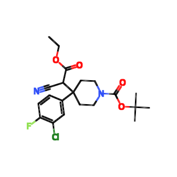 CCOC(=O)C(C#N)C1(c2ccc(F)c(Cl)c2)CCN(C(=O)OC(C)(C)C)CC1